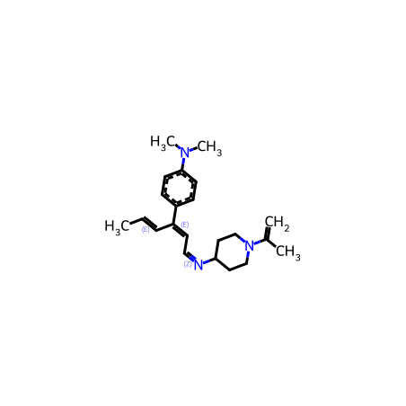 C=C(C)N1CCC(\N=C/C=C(\C=C\C)c2ccc(N(C)C)cc2)CC1